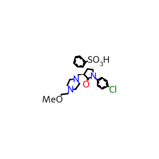 COCCN1CCN(C[C@H]2CCN(c3ccc(Cl)cc3)C2=O)CC1.O=S(=O)(O)c1ccccc1